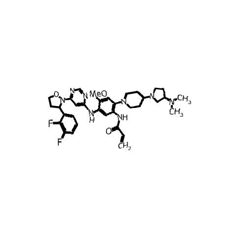 C=CC(=O)Nc1cc(Nc2cc(N3OCCC3c3cccc(F)c3F)ncn2)c(OC)cc1N1CCC(N2CCC(N(C)C)C2)CC1